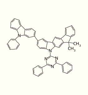 CC1(C)c2ccccc2-c2cc3c4cc(-c5ccc6c7ccccc7n(-c7ccccc7)c6c5)ccc4n(-c4nc(-c5ccccc5)nc(-c5ccccc5)n4)c3cc21